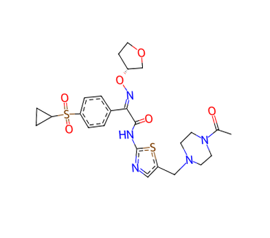 CC(=O)N1CCN(Cc2cnc(NC(=O)/C(=N/O[C@@H]3CCOC3)c3ccc(S(=O)(=O)C4CC4)cc3)s2)CC1